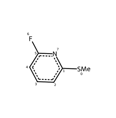 CSc1cccc(F)n1